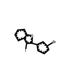 Brc1cccc(-c2sc3ccccc3c2I)c1